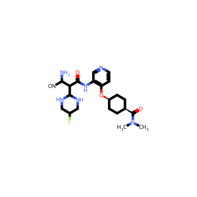 CN(C)C(=O)[C@H]1CC[C@@H](Oc2ccncc2NC(=O)C(C(N)N=O)C2NCC(F)CN2)CC1